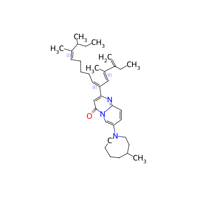 C=C(CC)/C(C)=C/C(=C\CCC/C=C(/C)C(C)CC)c1cc(=O)n2cc(N3CCCCC(C)CC3)ccc2n1